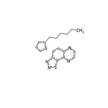 CCCCCCc1cccs1.c1cnc2c(ccc3nnsc32)n1